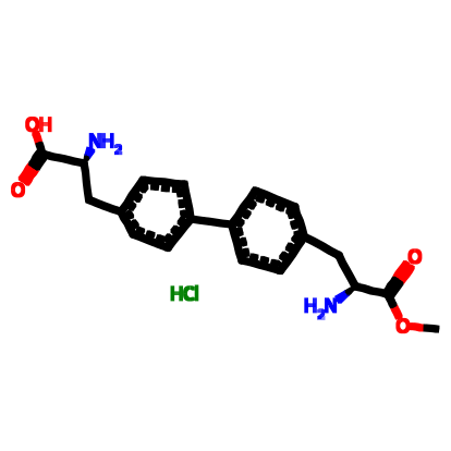 COC(=O)[C@@H](N)Cc1ccc(-c2ccc(C[C@H](N)C(=O)O)cc2)cc1.Cl